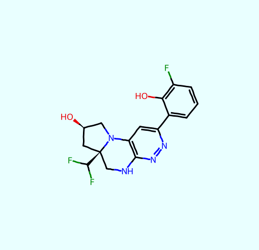 Oc1c(F)cccc1-c1cc2c(nn1)NC[C@]1(C(F)F)C[C@@H](O)CN21